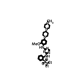 CCN(CC)S(=O)(=O)c1ccccc1Nc1ncnc(Nc2ccc(N3CCC(N4CCN(C)CC4)CC3)cc2OC)n1